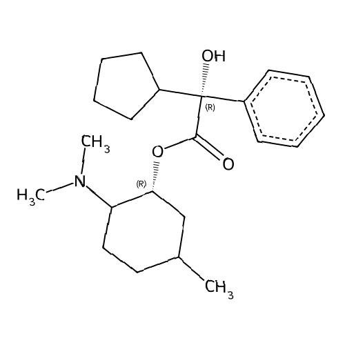 CC1CCC(N(C)C)[C@H](OC(=O)[C@](O)(c2ccccc2)C2CCCC2)C1